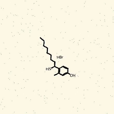 Br.CCCCCCCCC(S)c1ccc(O)cc1C